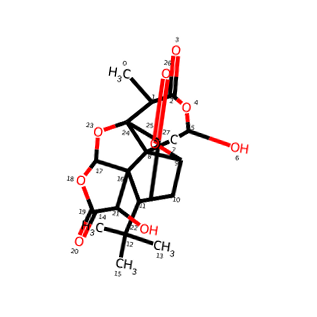 CC1C(=O)OC(O)CC23C4CC(C(C)(C)C)C25C(OC(=O)C5O)OC13C(=O)O4